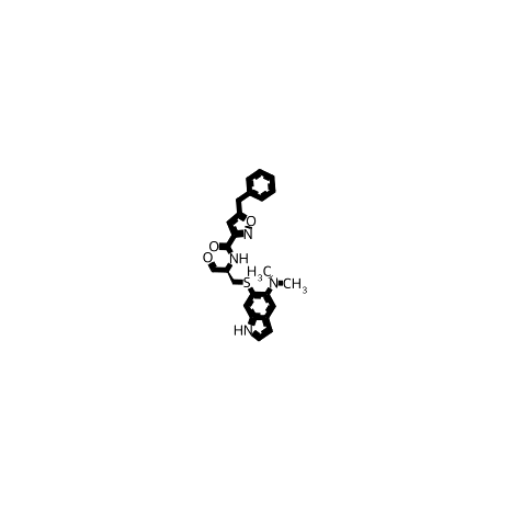 CN(C)c1cc2cc[nH]c2cc1SC[C@@H](C=O)NC(=O)c1cc(Cc2ccccc2)on1